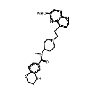 COc1ccc2nccc(CCN3CCC(N(C)C(=O)c4ccc5c(n4)NCCS5)CC3)c2n1